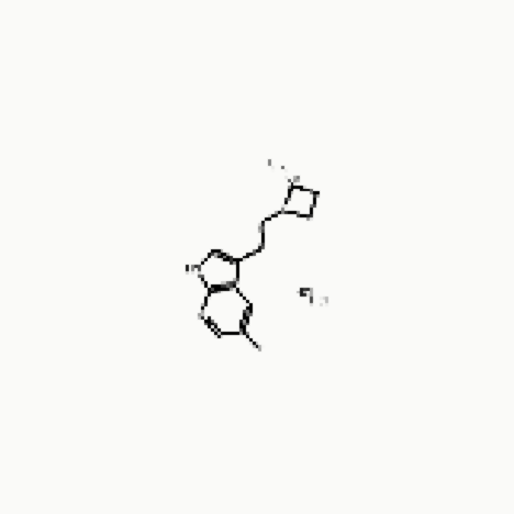 C[C@@H]1CCN1CCc1c[nH]c2ncc(F)cc12.Cl.Cl